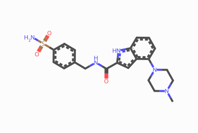 CN1CCN(c2cccc3[nH]c(C(=O)NCc4ccc(S(N)(=O)=O)cc4)cc23)CC1